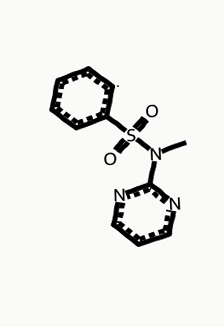 CN(c1ncccn1)S(=O)(=O)c1[c]cccc1